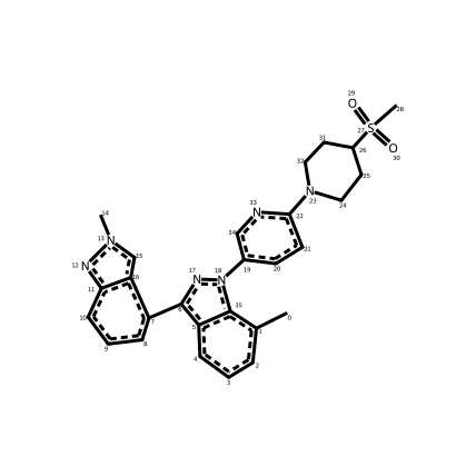 Cc1cccc2c(-c3cccc4nn(C)cc34)nn(-c3ccc(N4CCC(S(C)(=O)=O)CC4)nc3)c12